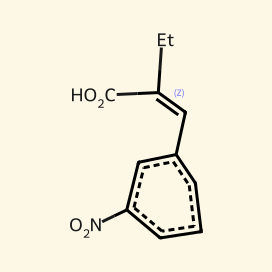 CC/C(=C/c1cccc([N+](=O)[O-])c1)C(=O)O